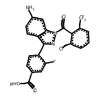 COC(=O)c1ccc(-c2nn(C(=O)c3c(Cl)cccc3C(F)(F)F)c3cc(N)ccc23)c(F)c1